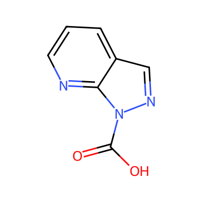 O=C(O)n1ncc2cccnc21